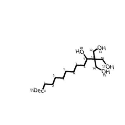 CCCCCCCCCCCCCCCCCCC(O)C(CO)(CO)CO